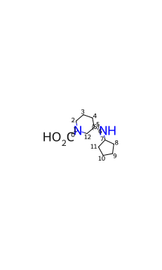 O=C(O)N1CCC[C@H](NC2CCCC2)C1